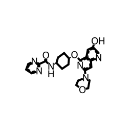 O=C(N[C@H]1CC[C@@H](Oc2nc(N3CCOCC3)cc3ncc(O)cc23)CC1)c1ncccn1